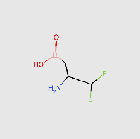 NC(CB(O)O)C(F)F